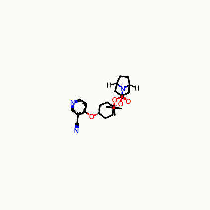 CC(C)(C)OC(=O)N1[C@@H]2CC[C@H]1C[C@H](O[C@H]1CC[C@H](Oc3ccncc3C#N)CC1)C2